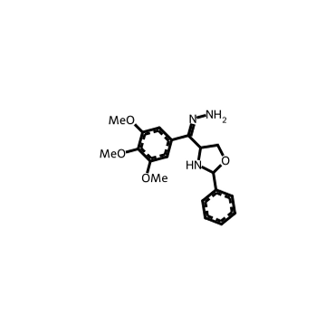 COc1cc(C(=NN)C2COC(c3ccccc3)N2)cc(OC)c1OC